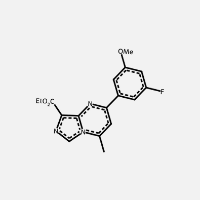 CCOC(=O)c1ncn2c(C)cc(-c3cc(F)cc(OC)c3)nc12